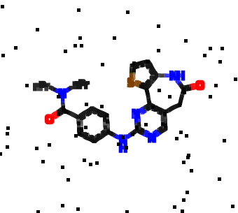 CCCN(CCC)C(=O)c1ccc(Nc2ncc3c(n2)-c2sccc2NC(=O)C3)cc1